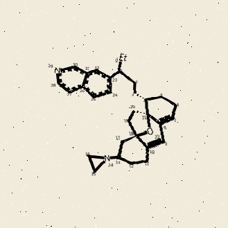 CCC(CC[C@@H]1CCC=C2C=C3CCC(N4CC4)C[C@]34CC[C@@]21O4)c1ccc2ccncc2c1